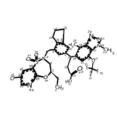 CC[C@@H]1CN(Cc2cc(C(CC(=O)O)c3cc(OC(F)(F)F)c4c(nnn4C)c3C)cc3c2CCC3)S(=O)(=O)c2cc(Cl)cnc2O1